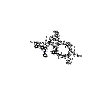 CNC(=O)c1ccccc1Sc1ccc2c(/C=C/c3ccccn3)nn(C(=O)[C@H](CCC(=O)O)NC(=O)CCC(=O)N[C@H](C(=O)N[C@@H](CCNC(=O)OC(C)(C)C)C(=O)N[C@@H]3CCNC(=O)[C@@H]([C@H](C)O)NC(=O)[C@H](CCNC(=O)OC(C)(C)C)NC(=O)[C@H](CCNC(=O)OC(C)(C)C)NC(=O)[C@H](CC(C)C)NC(=O)[C@H](Cc4ccccc4)NC(=O)[C@H](CCNC(=O)OC(C)(C)C)NC3=O)[C@H](C)O)c2c1